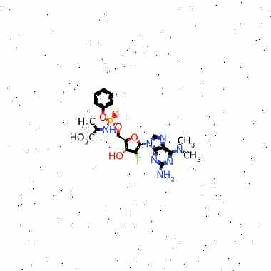 CC(N[P@](=O)(OC[C@H]1OC(n2cnc3c(N(C)C)nc(N)nc32)C(F)[C@@H]1O)Oc1ccccc1)C(=O)O